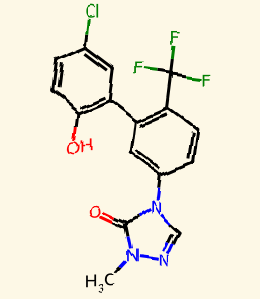 Cn1ncn(-c2ccc(C(F)(F)F)c(-c3cc(Cl)ccc3O)c2)c1=O